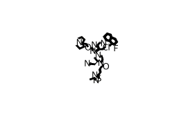 Cc1nsc(/C=C/C(=O)N2CCN(c3nc(OCC45CCCN4CCC5)nc4c3CCN(c3cccc5ccc(F)c(Cl)c35)C4)C[C@@H]2CC#N)n1